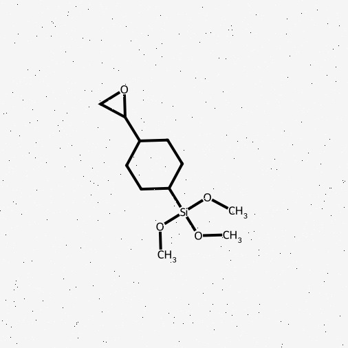 CO[Si](OC)(OC)C1CCC(C2CO2)CC1